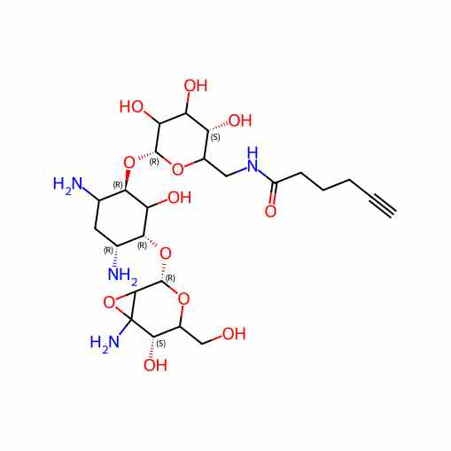 C#CCCCC(=O)NCC1O[C@H](O[C@@H]2C(N)C[C@@H](N)[C@@H](O[C@@H]3OC(CO)[C@H](O)C4(N)OC34)C2O)C(O)C(O)[C@@H]1O